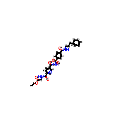 CCOC(=O)CNC(=O)c1ccc(C(=O)NS(=O)(=O)c2ccc(C(=O)NCCCc3ccccc3)cc2)cn1